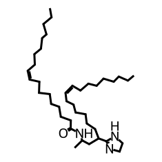 CCCCCCCC/C=C\CCCCCCCC(=O)NC(C)CC(CCCCCC/C=C\CCCCCCCC)C1=NCCN1